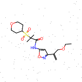 C=C(COCC)c1cc(NC(=O)C(C)(C)S(=O)(=O)C2CCOCC2)on1